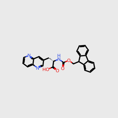 O=C(N[C@@H](Cc1cnc2cccnc2c1)C(=O)O)OCC1c2ccccc2-c2ccccc21